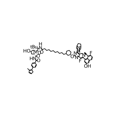 C#Cc1c(F)ccc2cc(O)cc(-c3ncc4c(N5CC6CCC(C5)N6)nc(OC5CCCC(CCCCCCCCCCC(=O)NC(C(=O)N6C[C@H](O)C[C@H]6C(=O)NC(=O)c6ccc(C7=C(C)C=CC7)cc6)C(C)(C)C)C5)nc4c3F)c12